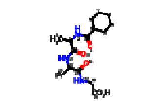 CC(NC(=O)C1CCCCC1)C(=O)NC(C(=O)NCC(=O)O)C(C)C